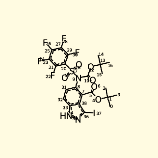 CC(C)(C)OC(=O)c1c(N(C(=O)OC(C)(C)C)S(=O)(=O)c2c(F)c(F)c(F)c(F)c2F)ccc2[nH]nc(I)c12